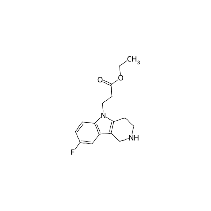 CCOC(=O)CCn1c2c(c3cc(F)ccc31)CNCC2